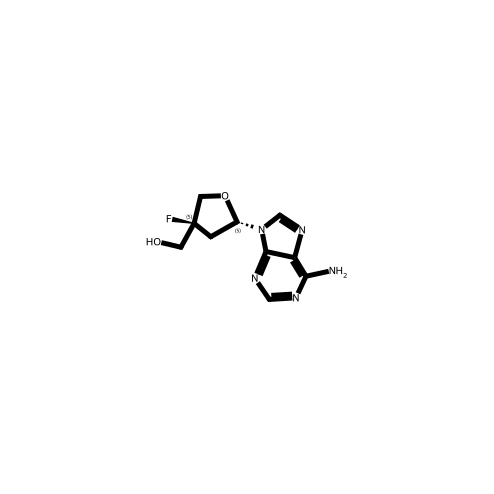 Nc1ncnc2c1ncn2[C@@H]1C[C@](F)(CO)CO1